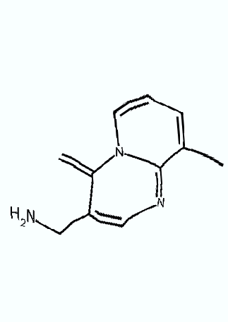 C=C1C(CN)=CN=C2C(C)=CC=CN12